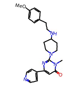 COc1ccc(CCNC2CCN(c3nc(-c4ccncc4)cc(=O)n3C)CC2)cc1